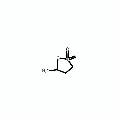 CC1CCS(=O)(=O)O1